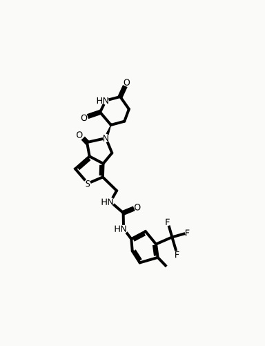 Cc1ccc(NC(=O)NCc2scc3c2CN([C@@H]2CCC(=O)NC2=O)C3=O)cc1C(F)(F)F